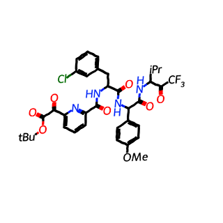 COc1ccc(C(NC(=O)C(Cc2cccc(Cl)c2)NC(=O)c2cccc(C(=O)C(=O)OC(C)(C)C)n2)C(=O)NC(C(=O)C(F)(F)F)C(C)C)cc1